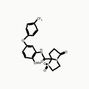 COc1ccc(Oc2ccc(C(F)(F)F)cc2)cc1NC(=O)C12CCC(=O)N1CCS2(=O)=O